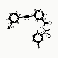 Cc1cccc(S(C)(=O)=NC(=O)c2cncc(C#Cc3cccc(Br)c3)c2)c1